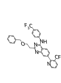 FC(F)(F)c1ccc(Nc2nc(CCOCc3ccccc3)nc3cc(-c4ncccc4C(F)(F)F)ccc23)cc1